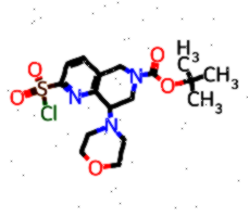 CC(C)(C)OC(=O)N1Cc2ccc(S(=O)(=O)Cl)nc2C(N2CCOCC2)C1